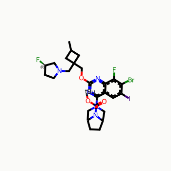 CC1CC(COc2nc(N3CC4CCC(C3)N4C(=O)OC(C)(C)C)c3cc(I)c(Br)c(F)c3n2)(CN2CC[C@@H](F)C2)C1